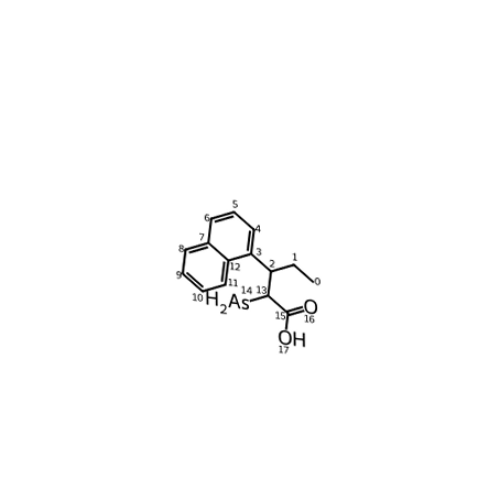 CCC(c1cccc2ccccc12)C([AsH2])C(=O)O